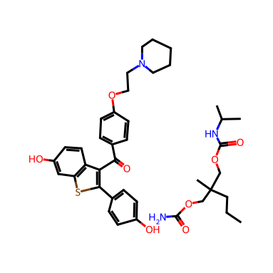 CCCC(C)(COC(N)=O)COC(=O)NC(C)C.O=C(c1ccc(OCCN2CCCCC2)cc1)c1c(-c2ccc(O)cc2)sc2cc(O)ccc12